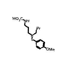 COc1ccc(SN(CCCNC(=O)O)CC(C)C)cc1